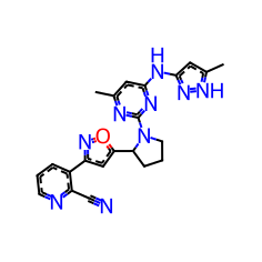 Cc1cc(Nc2cc(C)[nH]n2)nc(N2CCCC2c2cc(-c3cccnc3C#N)no2)n1